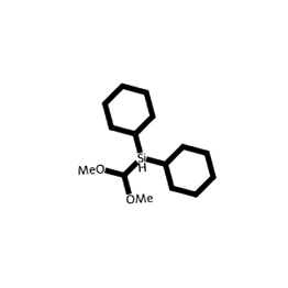 COC(OC)[SiH](C1CCCCC1)C1CCCCC1